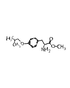 COC(=O)C(N)Cc1ccc(OCC(C)C)cc1